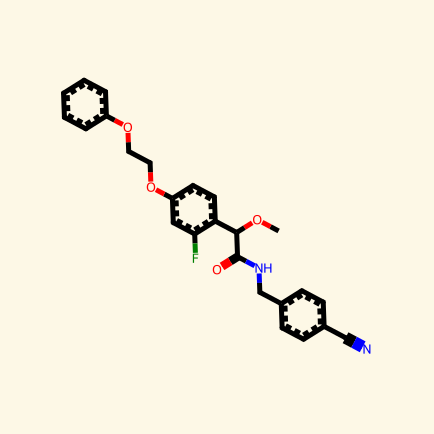 COC(C(=O)NCc1ccc(C#N)cc1)c1ccc(OCCOc2ccccc2)cc1F